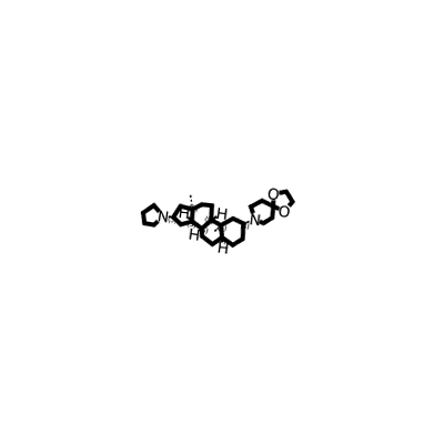 C[C@]12CC[C@H]3[C@@H](CC[C@H]4CC[C@@H](N5CCC6(CC5)OCCO6)C[C@@]43C)[C@@H]1C[C@H](N1CCCC1)C2